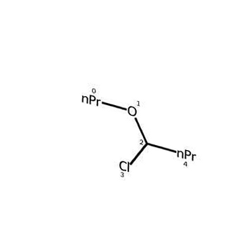 CCCOC(Cl)CCC